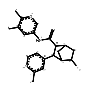 C=C(Nc1cnc(C)c(C)c1)C1C2CC(F)C(C2)C1c1ccnc(C)c1